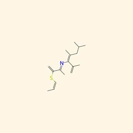 C=C(S/C=C\C)/C(C)=N/C(C(=C)C)=C(\C)CC(C)C